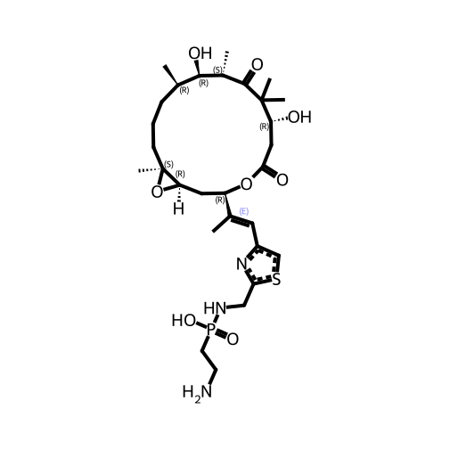 C/C(=C\c1csc(CNP(=O)(O)CCN)n1)[C@H]1C[C@H]2O[C@@]2(C)CCC[C@@H](C)[C@@H](O)[C@H](C)C(=O)C(C)(C)[C@H](O)CC(=O)O1